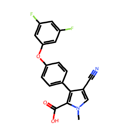 Cn1cc(C#N)c(-c2ccc(Oc3cc(F)cc(F)c3)cc2)c1C(=O)O